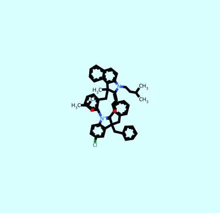 CC(C)CCN1/C(=C/C=C/C2=[N+](CCC(C)C)c3ccc(Cl)cc3C2(Cc2ccccc2)Cc2ccccc2)C(C)(Cc2ccccc2)c2c1ccc1ccccc21